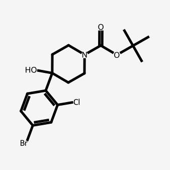 CC(C)(C)OC(=O)N1CCC(O)(c2ccc(Br)cc2Cl)CC1